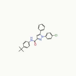 CC(C)(C)c1ccc(NC(=O)c2cc(-c3ccccc3)n(-c3ccc(Cl)cc3)n2)cc1